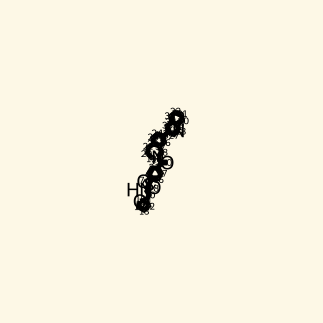 O=C(c1ccc(S(=O)(=O)NCC2CCCO2)cc1)N1CCCc2ccc(-c3cnc4ccccc4c3)cc2C1